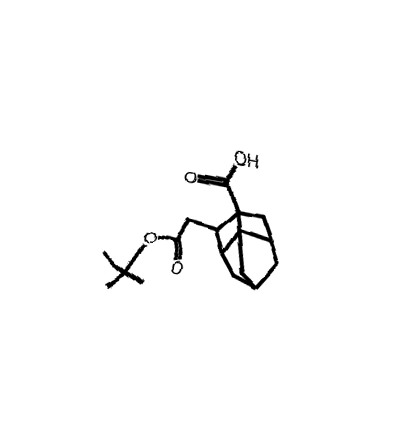 CC(C)(C)OC(=O)CC1C2CC3CC(C2)CC1(C(=O)O)C3